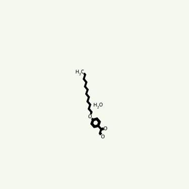 CCCCCCCCCCCCOc1ccc(C(=O)C=O)cc1.O